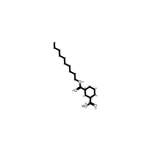 CCCCCCCCCCOC(=O)C1CCCC(C(=O)O)C1